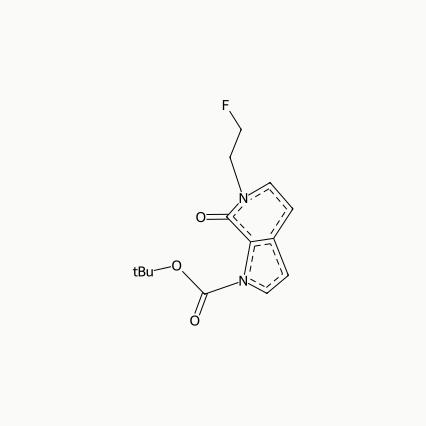 CC(C)(C)OC(=O)n1ccc2ccn(CCF)c(=O)c21